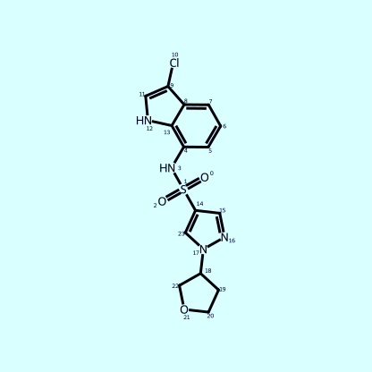 O=S(=O)(Nc1cccc2c(Cl)c[nH]c12)c1cnn(C2CCOC2)c1